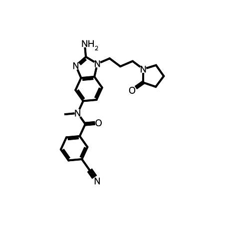 CN(C(=O)c1cccc(C#N)c1)c1ccc2c(c1)nc(N)n2CCCN1CCCC1=O